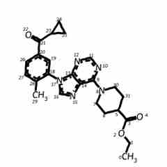 CCOC(=O)C1CCN(c2ncnc3c2ncn3-c2cc(C(=O)C3CC3)ccc2C)CC1